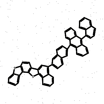 c1ccc2c(-c3c4ccccc4c(-c4ccc5cc(-c6cc7c8ccc9sc%10ccccc%10c9c8sc7c7ccccc67)ccc5c4)c4ccccc34)cccc2c1